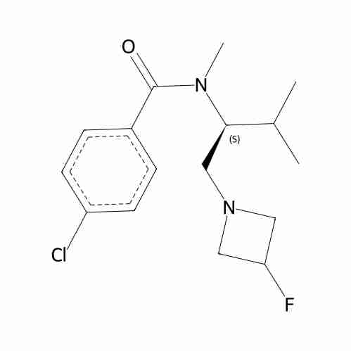 CC(C)[C@@H](CN1CC(F)C1)N(C)C(=O)c1ccc(Cl)cc1